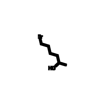 CC(O)CCCCBr